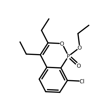 CCOP1(=O)OC(CC)=C(CC)c2cccc(Cl)c21